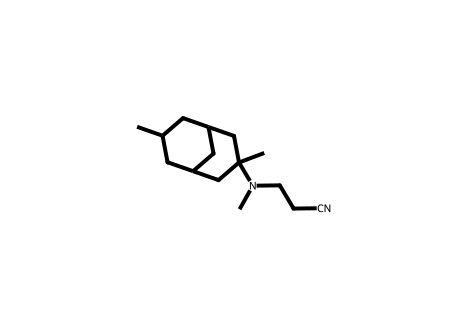 CC1CC2CC(C1)CC(C)(N(C)CCC#N)C2